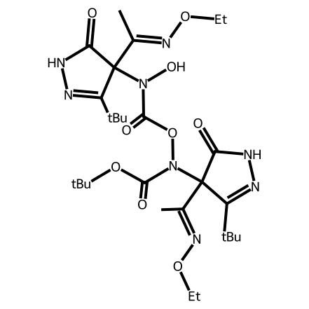 CCON=C(C)C1(N(O)C(=O)ON(C(=O)OC(C)(C)C)C2(C(C)=NOCC)C(=O)NN=C2C(C)(C)C)C(=O)NN=C1C(C)(C)C